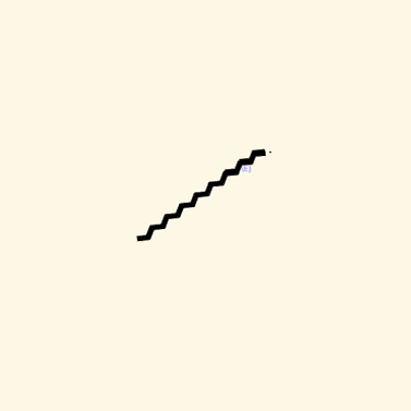 [CH]=C/C=C/C=CCCCCCCCCCCCC